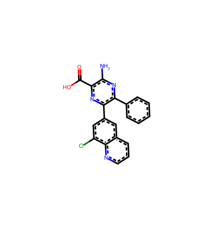 Nc1nc(-c2ccccc2)c(-c2cc(Cl)c3ncccc3c2)nc1C(=O)O